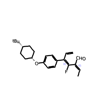 C=C/C(=C(F)\C(C=O)=C/C)c1ccc(O[C@H]2CC[C@@H](C(C)(C)C)CC2)cc1